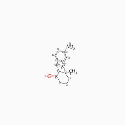 CC1(C)CCCC(=O)C1Cc1ccc([N+](=O)[O-])cc1